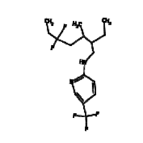 CCC(CNc1ccc(C(F)(F)F)cn1)C(C)CC(F)(F)CC